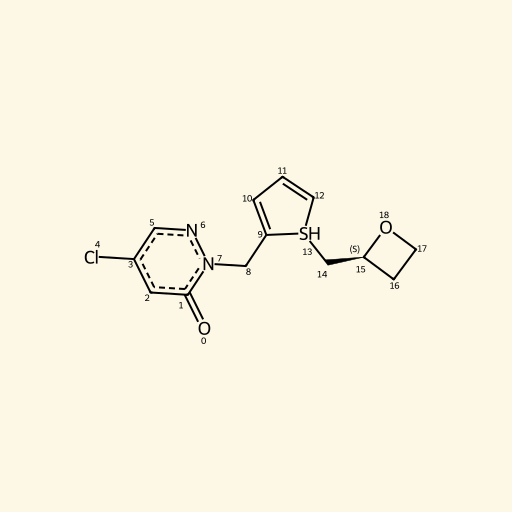 O=c1cc(Cl)cnn1CC1=CC=C[SH]1C[C@@H]1CCO1